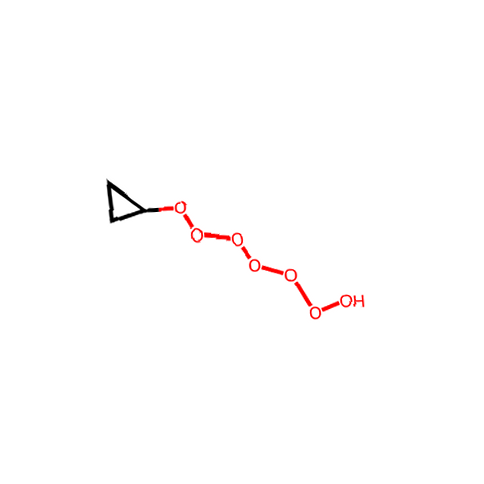 OOOOOOOC1CC1